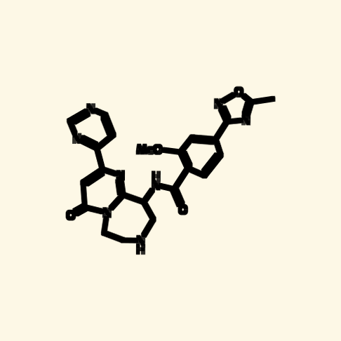 COc1cc(-c2noc(C)n2)ccc1C(=O)NC1CNCCn2c1nc(-c1ccncn1)cc2=O